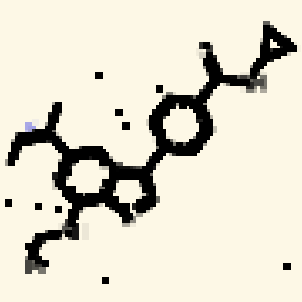 C/C=C(/C)c1cn2c(-c3ccc(C(=O)NC4CC4)cc3)cnc2c(NCC(C)C)n1